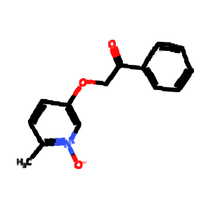 Cc1ccc(OCC(=O)c2ccccc2)c[n+]1[O-]